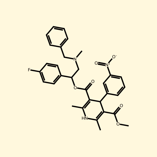 COC(=O)C1=C(C)NC(C)=C(C(=O)OC(CN(C)Cc2ccccc2)c2ccc(F)cc2)C1c1cccc([N+](=O)[O-])c1